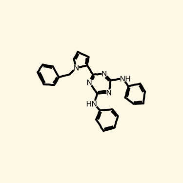 c1ccc(Cn2cccc2-c2nc(Nc3ccccc3)nc(Nc3ccccc3)n2)cc1